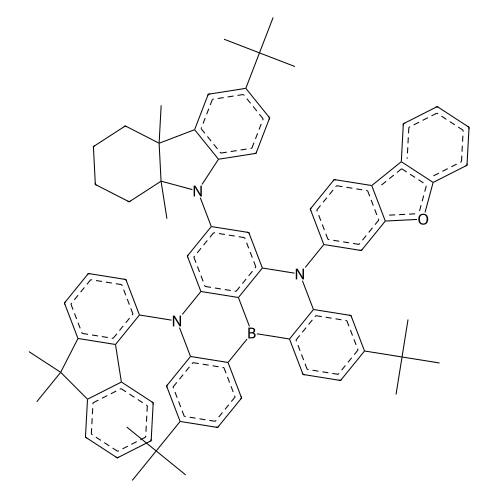 CC(C)(C)c1ccc2c(c1)N(c1ccc3c(c1)oc1ccccc13)c1cc(N3c4ccc(C(C)(C)C)cc4C4(C)CCCCC34C)cc3c1B2c1ccc(C(C)(C)C)cc1N3c1cccc2c1-c1ccccc1C2(C)C